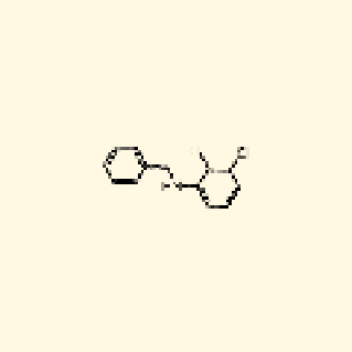 Clc1cccc(NCc2ccccc2)c1Cl